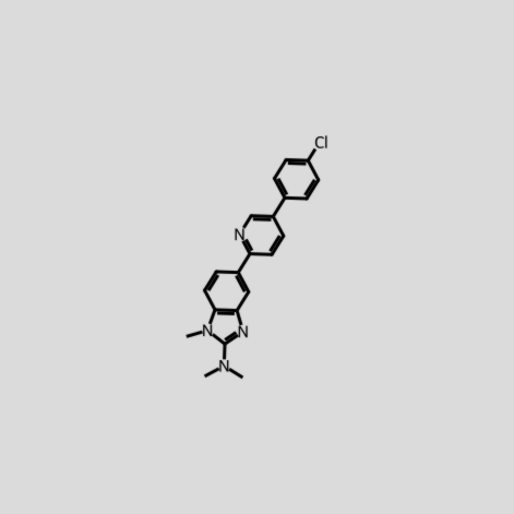 CN(C)c1nc2cc(-c3ccc(-c4ccc(Cl)cc4)cn3)ccc2n1C